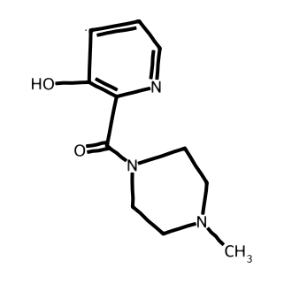 CN1CCN(C(=O)c2ncc[c]c2O)CC1